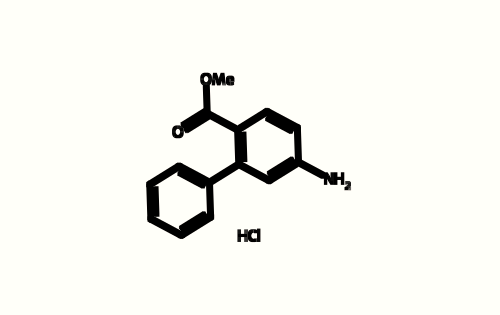 COC(=O)c1ccc(N)cc1-c1ccccc1.Cl